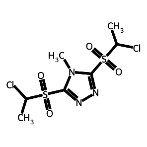 CC(Cl)S(=O)(=O)c1nnc(S(=O)(=O)C(C)Cl)n1C